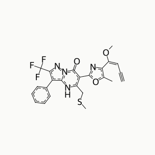 C#C/C=C(/OC)c1nc(-c2c(CSC)[nH]c3c(-c4ccccc4)c(C(F)(F)F)nn3c2=O)oc1C